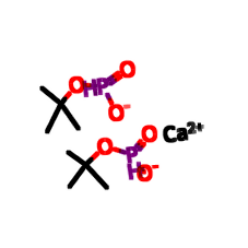 CC(C)(C)O[PH](=O)[O-].CC(C)(C)O[PH](=O)[O-].[Ca+2]